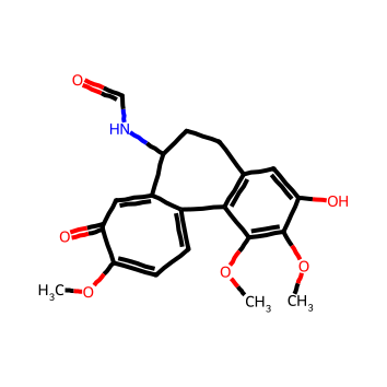 COc1c(O)cc2c(c1OC)-c1ccc(OC)c(=O)cc1C(NC=O)CC2